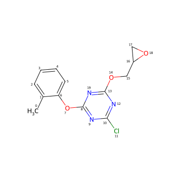 Cc1ccccc1Oc1nc(Cl)nc(OCC2CO2)n1